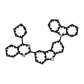 c1ccc(-c2nc(-c3ccc4oc5ccc(-n6c7ccccc7c7ccccc76)cc5c4c3)nc3ccccc23)cc1